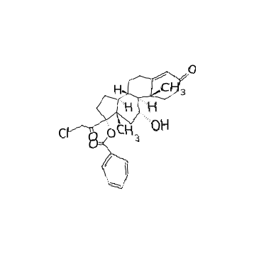 C[C@]12CCC(=O)C=C1CC[C@@H]1[C@@H]2[C@H](O)C[C@@]2(C)[C@H]1CC[C@]2(OC(=O)c1ccccc1)C(=O)CCl